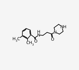 Cc1cccc(C(=O)NCCC(=O)N2CCNCC2)c1C